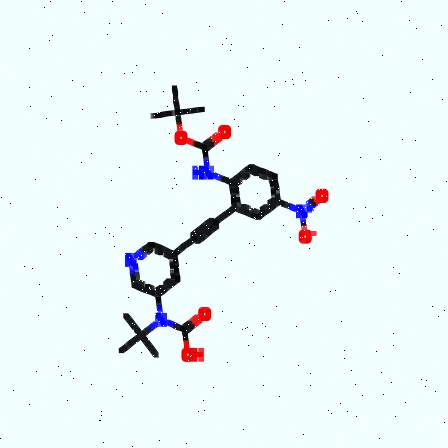 CC(C)(C)OC(=O)Nc1ccc([N+](=O)[O-])cc1C#Cc1cncc(N(C(=O)O)C(C)(C)C)c1